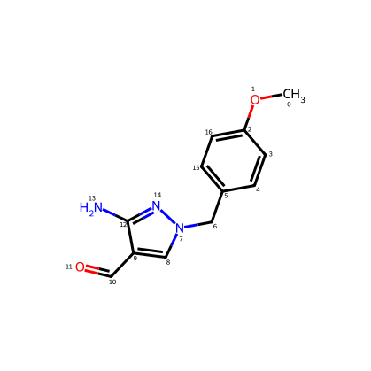 COc1ccc(Cn2cc(C=O)c(N)n2)cc1